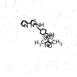 Cc1noc(C)c1S(=O)(=O)NC1CCC(CNc2nc(-c3ccccn3)cs2)CC1